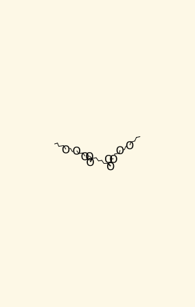 CCCCOCCOCCOOC(=O)CCCCC(=O)OOCCOCCOCCCC